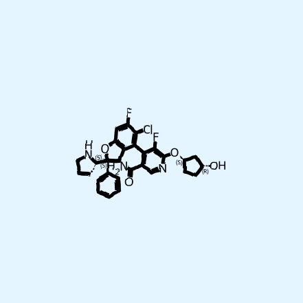 NC(=O)c1cnc(O[C@H]2CC[C@@H](O)C2)c(F)c1-c1c(Cl)c(F)cc2c1C[C@](c1ccccc1)([C@@H]1CCCN1)O2